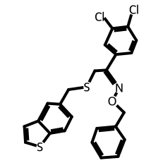 Clc1ccc(C(CSCc2ccc3sccc3c2)=NOCc2ccccc2)cc1Cl